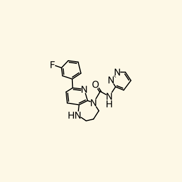 O=C(Nc1cccnn1)N1CCCNc2ccc(-c3cccc(F)c3)nc21